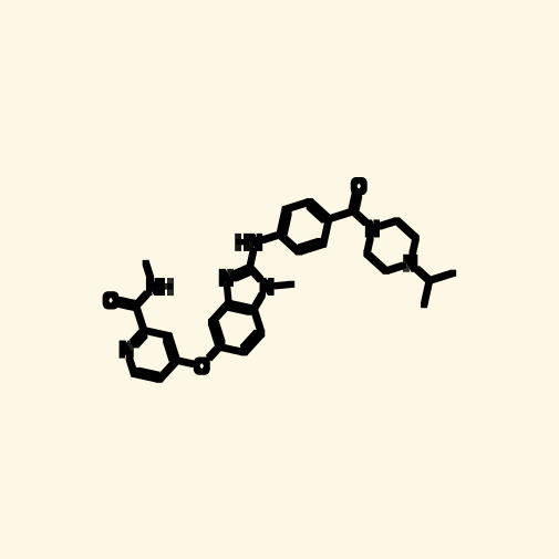 CNC(=O)c1cc(Oc2ccc3c(c2)nc(Nc2ccc(C(=O)N4CCN(C(C)C)CC4)cc2)n3C)ccn1